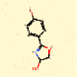 OC1COC(c2ccc(Br)cc2)=N1